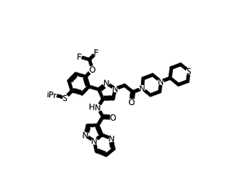 CC(C)Sc1ccc(OC(F)F)c(-c2nn(CC(=O)N3CCN(C4CCSCC4)CC3)cc2NC(=O)c2cnn3cccnc23)c1